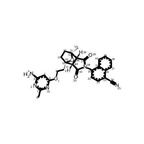 Cc1nc(N)cc(OCC[C@]23CC[C@](C)(O2)[C@@H]2C(=O)N(c4ccc(C#N)c5ccccc45)C(=O)[C@@H]23)n1